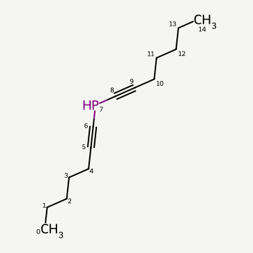 CCCCCC#CPC#CCCCCC